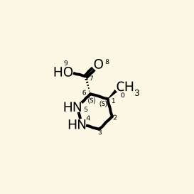 C[C@H]1CCNN[C@@H]1C(=O)O